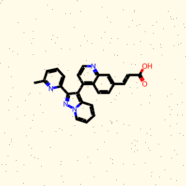 Cc1cccc(-c2nn3ccccc3c2-c2ccnc3cc(C=CC(=O)O)ccc23)n1